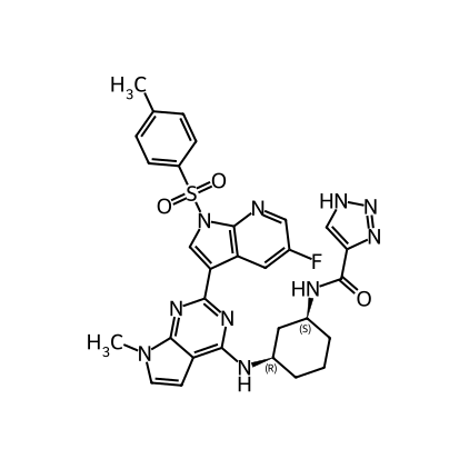 Cc1ccc(S(=O)(=O)n2cc(-c3nc(N[C@@H]4CCC[C@H](NC(=O)c5c[nH]nn5)C4)c4ccn(C)c4n3)c3cc(F)cnc32)cc1